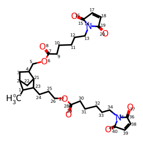 CC1C2CC(COC(=O)CCCCCN3C(=O)C=CC3=O)C(C2)C1CCCOC(=O)CCCCCN1C(=O)C=CC1=O